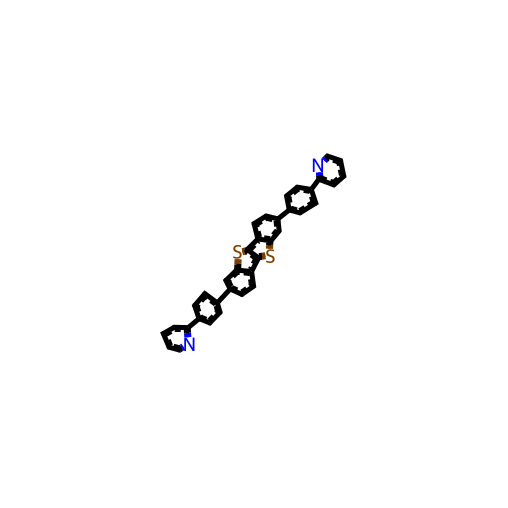 c1ccc(-c2ccc(-c3ccc4c(c3)sc3c5ccc(-c6ccc(-c7ccccn7)cc6)cc5sc43)cc2)nc1